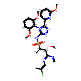 C=N/C(=N\C=C(/C)F)[C@@H](OC)[C@@H](C)S(=O)(=O)Nc1nnc(-c2cccc(OC)n2)n1-c1c(OC)cccc1OC